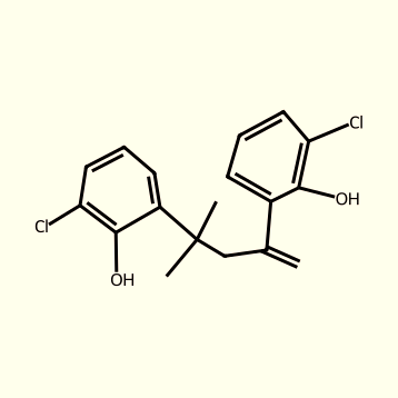 C=C(CC(C)(C)c1cccc(Cl)c1O)c1cccc(Cl)c1O